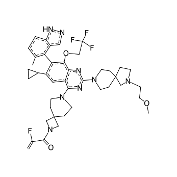 C=C(F)C(=O)N1CC2(CCN(c3nc(N4CCC5(CCN(CCOC)C5)CC4)nc4c(OCC(F)(F)F)c(-c5c(C)ccc6[nH]ncc56)c(C5CC5)cc34)CC2)C1